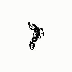 CCN1CCc2cc(NS(=O)(=O)c3ccc(C4(C)CCOCC4)cc3)c(OC)nc2CC1